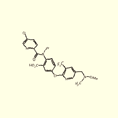 CON(C)Cc1cnc(Oc2ccc(N(C(=O)c3ccc(Cl)cn3)C(C)C)c(C(=O)O)c2)c(C(F)(F)F)c1